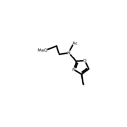 COCCN(C(C)=O)c1nc(C)co1